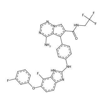 Nc1ncnn2cc(C(=O)NCC(F)(F)F)c(-c3ccc(Nc4nc5ccc(Oc6cccc(F)c6)c(F)c5[nH]4)cc3)c12